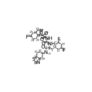 CN(C(=O)[C@H](Cc1cc(F)cc(F)c1)NC(=O)NS(=O)(=O)n1ncc2cc(F)ccc21)c1ccc2scnc2c1